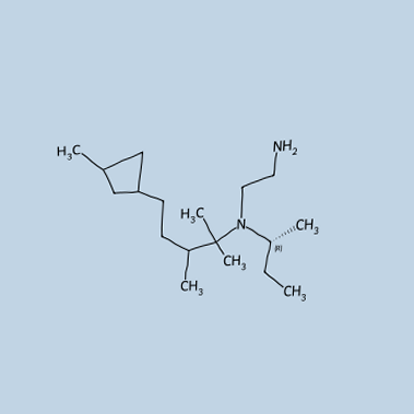 CC[C@@H](C)N(CCN)C(C)(C)C(C)CCC1CC(C)C1